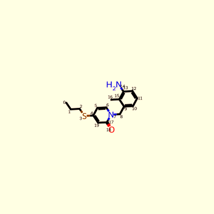 CCCSc1ccn(Cc2cccc(N)c2C)c(=O)c1